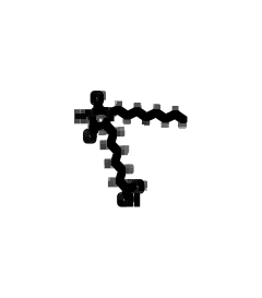 CCCCCCCCN1C(=O)NC(=O)C1CCCCCCC(=O)O